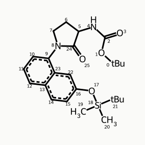 CC(C)(C)OC(=O)NC1CCN(c2cccc3ccc(O[Si](C)(C)C(C)(C)C)cc23)C1=O